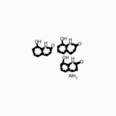 O=c1ccc2cccc(O)c2[nH]1.O=c1ccc2cccc(O)c2[nH]1.O=c1ccc2cccc(O)c2[nH]1.[AlH3]